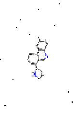 Cc1ccc2ncc3c(C4C=CC[N]4)cccc3c2c1